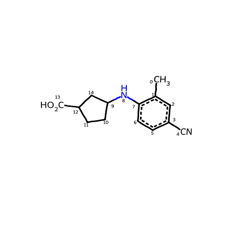 Cc1cc(C#N)ccc1NC1CCC(C(=O)O)C1